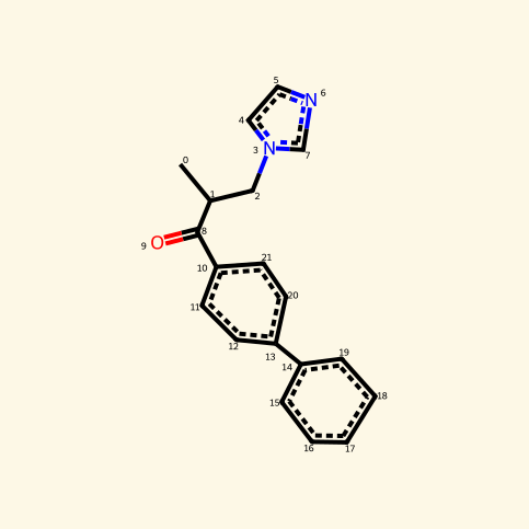 CC(Cn1ccnc1)C(=O)c1ccc(-c2ccccc2)cc1